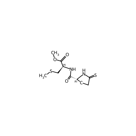 COC(=O)[C@H](CSC)NC(=O)[C@H]1CCC(=S)N1